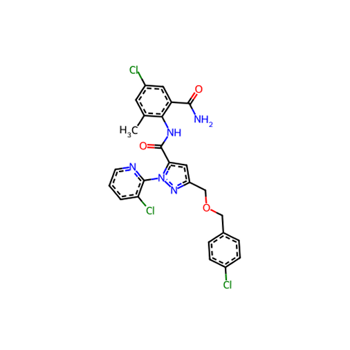 Cc1cc(Cl)cc(C(N)=O)c1NC(=O)c1cc(COCc2ccc(Cl)cc2)nn1-c1ncccc1Cl